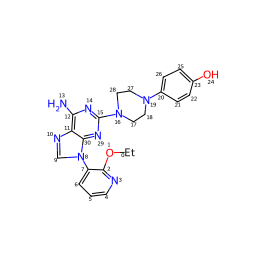 CCOc1ncccc1-n1cnc2c(N)nc(N3CCN(c4ccc(O)cc4)CC3)nc21